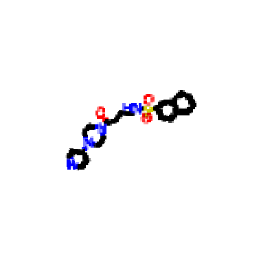 O=C(CCCNS(=O)(=O)c1ccc2ccccc2c1)N1CCN(c2ccncc2)CC1